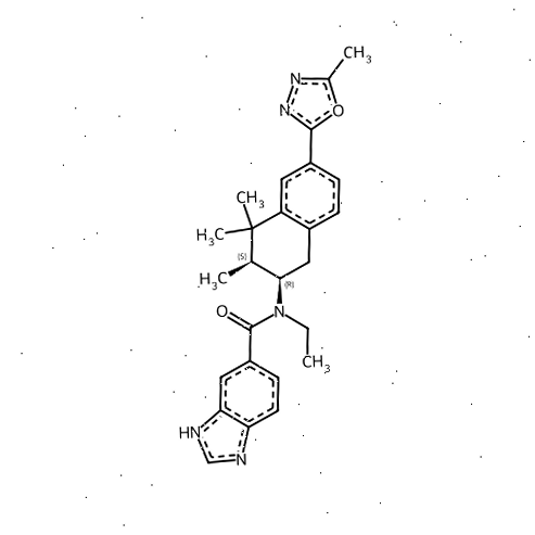 CCN(C(=O)c1ccc2nc[nH]c2c1)[C@@H]1Cc2ccc(-c3nnc(C)o3)cc2C(C)(C)[C@@H]1C